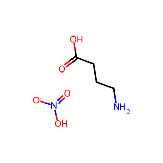 NCCCC(=O)O.O=[N+]([O-])O